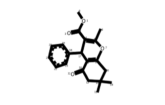 COC(=O)C1=C(C)OC2=C(C(=O)CC(C)(C)C2)C1c1ccccc1